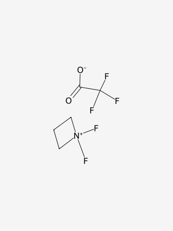 F[N+]1(F)CCC1.O=C([O-])C(F)(F)F